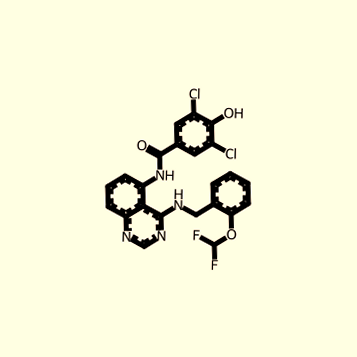 O=C(Nc1cccc2ncnc(NCc3ccccc3OC(F)F)c12)c1cc(Cl)c(O)c(Cl)c1